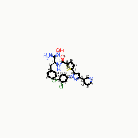 N/C(=N\O)[C@H](Cc1ccccc1)NC(=O)c1ccc(-c2cc(-c3cccnc3)nn2-c2ccc(Cl)c(Cl)c2)s1